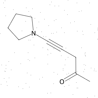 CC(=O)CC#CN1CCCC1